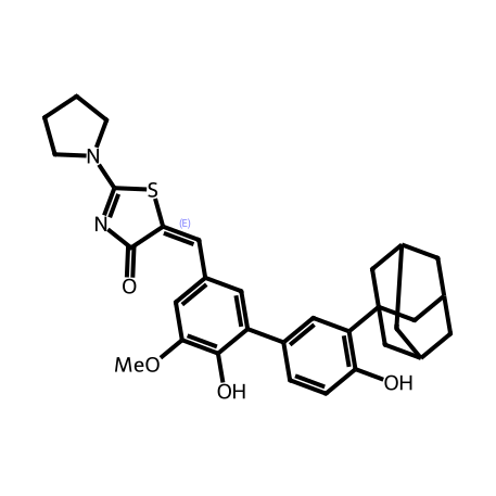 COc1cc(/C=C2/SC(N3CCCC3)=NC2=O)cc(-c2ccc(O)c(C34CC5CC(CC(C5)C3)C4)c2)c1O